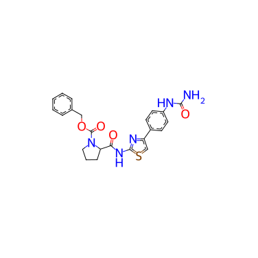 NC(=O)Nc1ccc(-c2csc(NC(=O)C3CCCN3C(=O)OCc3ccccc3)n2)cc1